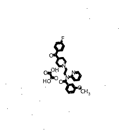 COc1cccc(C(=O)N(CCN2CCC(C(=O)c3ccc(F)cc3)CC2)c2ccccn2)c1.O=C(O)C(=O)O